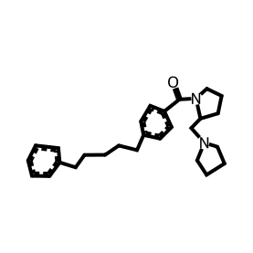 O=C(c1ccc(CCCCCc2ccccc2)cc1)N1CCCC1CN1CCCC1